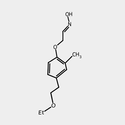 CCOCCc1ccc(OCC=NO)c(C)c1